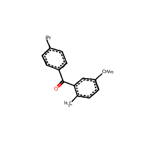 COc1ccc(C)c(C(=O)c2ccc(C(C)C)cc2)c1